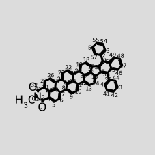 CN1C(=O)c2ccc3c4ccc5c6ccc7c8c(ccc(c9ccc(c%10ccc(c2c3%10)C1=O)c4c59)c86)-c1c-7c(-c2ccccc2)c2ccccc2c1-c1ccccc1